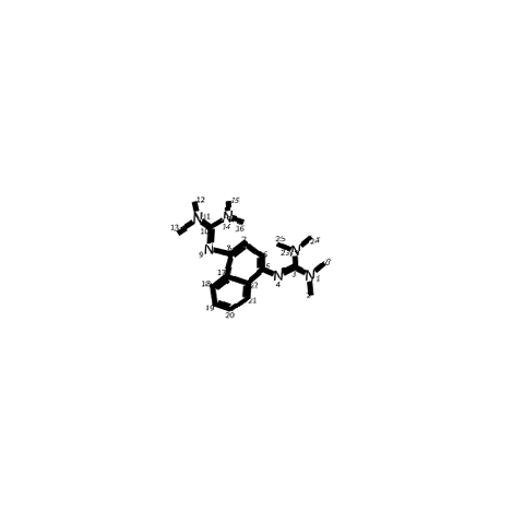 CN(C)C(=Nc1ccc(N=C(N(C)C)N(C)C)c2ccccc12)N(C)C